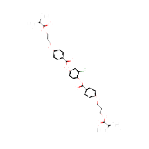 C=C(C)C(=O)OCCCOc1ccc(C(=O)Oc2ccc(OC(=O)c3ccc(OCCCOC(=O)C(=C)C)cc3)c(F)c2)cc1